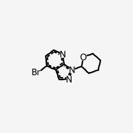 Brc1ccnc2c1cnn2C1CCCCO1